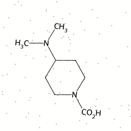 CN(C)C1CCN(C(=O)O)CC1